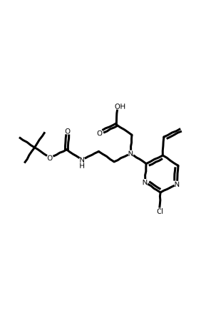 C=Cc1cnc(Cl)nc1N(CCNC(=O)OC(C)(C)C)CC(=O)O